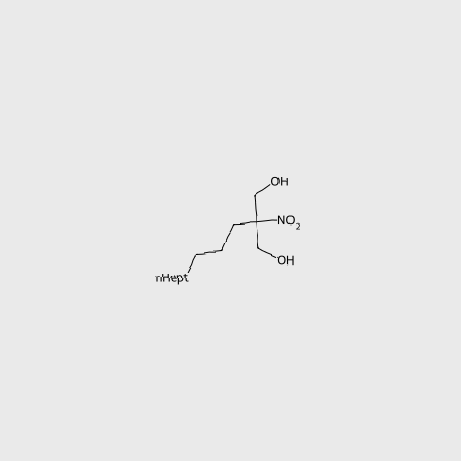 CCCCCCCCCCC(CO)(CO)[N+](=O)[O-]